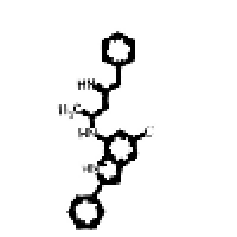 CC(CC(=N)Cc1ccccc1)Nc1cc(Cl)cc2cc(-c3ccccc3)[nH]c12